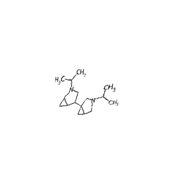 CC(C)N1CC2CC2(C2CN(C(C)C)C3CC32)C1